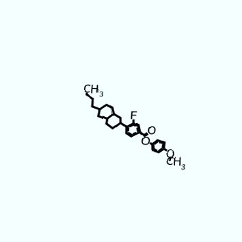 CCCCC1CCC2CC(c3ccc(C(=O)Oc4ccc(OC)cc4)cc3F)CCC2C1